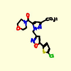 O=C(O)c1cc(C(=O)N2CCOCC2)n(Cc2cc(-c3ccc(Cl)s3)on2)n1